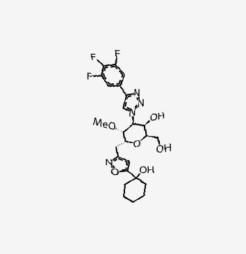 CO[C@@H]1[C@@H](n2cc(-c3cc(F)c(F)c(F)c3)nn2)[C@@H](O)[C@@H](CO)O[C@@H]1Cc1cc(C2(O)CCCCC2)on1